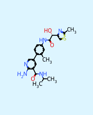 Cc1nc([C@@H](O)C(=O)Nc2ccc(-c3cnc(N)c(C(=O)NC(C)C)c3)c(C)c2)cs1